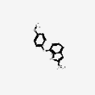 O=C(O)c1cc2cccc(Oc3ccc(OC(F)(F)F)cc3)c2s1